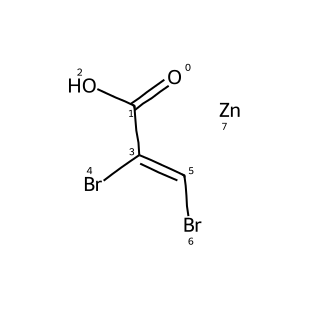 O=C(O)C(Br)=CBr.[Zn]